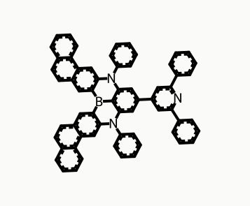 c1ccc(-c2cc(-c3cc4c5c(c3)N(c3ccccc3)c3cc6c(ccc7ccccc76)cc3B5c3cc5ccc6ccccc6c5cc3N4c3ccccc3)cc(-c3ccccc3)n2)cc1